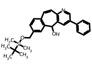 CC(C)(C)[Si](C)(C)OCc1ccc2c(c1)C(O)c1cc(-c3ccccc3)cnc1C=C2